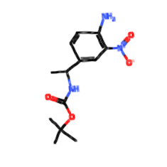 CC(NC(=O)OC(C)(C)C)c1ccc(N)c([N+](=O)[O-])c1